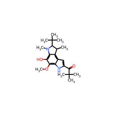 COc1c(O)c2c(c3cc(C(=O)C(C)(C)C)[nH]c13)C(C)C(C(C)(C)C)N2C